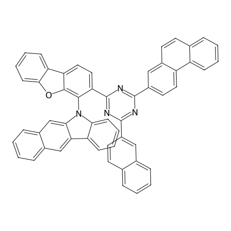 c1ccc2cc(-c3nc(-c4ccc5c(ccc6ccccc65)c4)nc(-c4ccc5c(oc6ccccc65)c4-n4c5ccccc5c5cc6ccccc6cc54)n3)ccc2c1